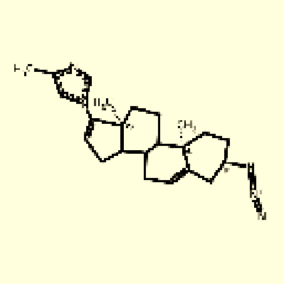 Cc1cn(C2=CCC3C4CC=C5C[C@H](N=[N+]=[N-])CC[C@]5(C)C4CC[C@]23C)cn1